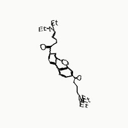 CCN(CC)CCCC(=O)c1ccc2c(c1)oc1cc(C(=O)CCCN(CC)CC)ccc12